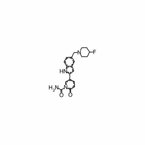 NC(=O)n1cc(-c2cc3cc(CN4CCC(F)CC4)ccc3[nH]2)ccc1=O